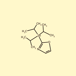 C[CH](C)[Sn]([c]1ncco1)([CH](C)C)[CH](C)C